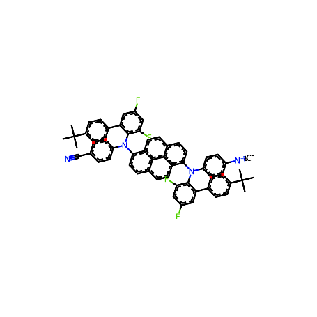 [C-]#[N+]c1ccc(N(c2c(F)cc(F)cc2-c2ccc(C(C)(C)C)cc2)c2ccc3ccc4c(N(c5ccc(C#N)cc5)c5c(F)cc(F)cc5-c5ccc(C(C)(C)C)cc5)ccc5ccc2c3c54)cc1